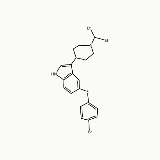 CCC(CC)N1CCC(c2c[nH]c3ccc(Sc4ccc(Br)cc4)cc23)CC1